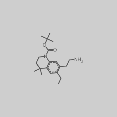 CCc1cc2c(cc1CCN)N(C(=O)OC(C)(C)C)CCC2(C)C